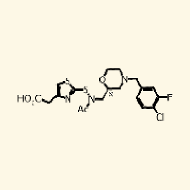 CC(=O)N(C[C@@H]1CN(Cc2ccc(Cl)c(F)c2)CCO1)Sc1nc(CC(=O)O)cs1